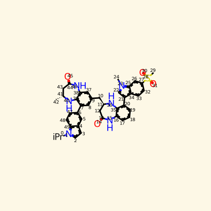 CC(C)n1ccc2cc(-c3cc(C[C@@H]4CC(=O)Nc5cccc(-c6cn(C)c7cc(S(C)(=O)=O)ccc67)c5N4)cc4c3N[C@H](C)CC(=O)N4)ccc21